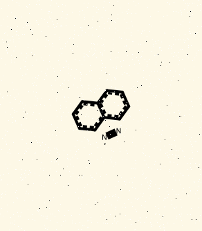 N#N.c1ccc2ccccc2c1